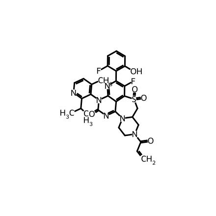 C=CC(=O)N1CCN2c3nc(=O)n(-c4c(C)ccnc4C(C)C)c4nc(-c5c(O)cccc5F)c(F)c(c34)S(=O)(=O)CC2C1